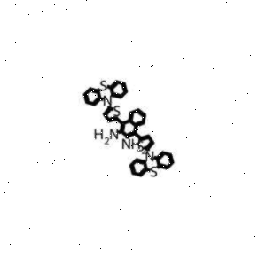 Nc1c(N)c(-c2ccc(N3c4ccccc4Sc4ccccc43)s2)c2ccccc2c1-c1ccc(N2c3ccccc3Sc3ccccc32)s1